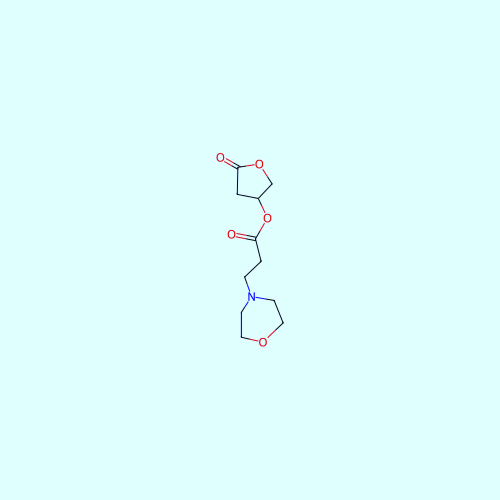 O=C1CC(OC(=O)CCN2CCOCC2)CO1